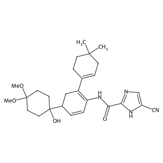 COC1(OC)CCC(O)(C2C=CC(NC(=O)c3ncc(C#N)[nH]3)=C(C3=CCC(C)(C)CC3)C2)CC1